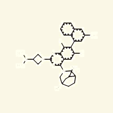 CN(C)C1CN(c2nc(N3CC4CC[C@H](C[C@@H]4N)C3)c3cc(Cl)c(-c4cc(O)cc5ccccc45)c(F)c3n2)C1